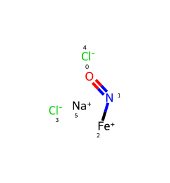 O=[N][Fe+].[Cl-].[Cl-].[Na+]